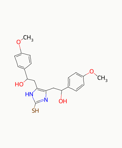 COc1ccc(C(O)Cc2nc(S)[nH]c2CC(O)c2ccc(OC)cc2)cc1